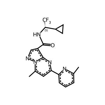 Cc1cccc(-c2cc(C)n3ncc(C(=O)N[C@@H](C4CC4)C(F)(F)F)c3n2)n1